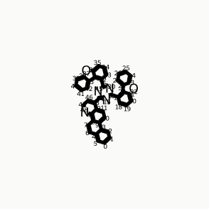 c1ccc2c(c1)ccc1c2ccc2c(-c3nc(-c4cccc5oc6ccccc6c45)nc(-c4cccc5oc6ccccc6c45)n3)ccnc21